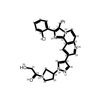 CC(C)c1c(-c2ccccc2Cl)nc2c3cc(-c4cnn(C5CCN(C(=O)CO)C5)c4)cnc3ccn12